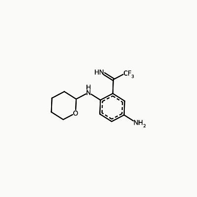 N=C(c1cc(N)ccc1NC1CCCCO1)C(F)(F)F